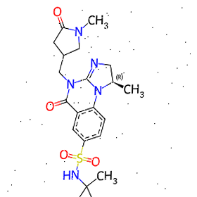 C[C@@H]1CN=C2N(CC3CC(=O)N(C)C3)C(=O)c3cc(S(=O)(=O)NC4(C)CC4)ccc3N21